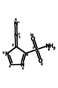 [N-]=[N+]=C1N=CN=C1S(N)(=O)=O